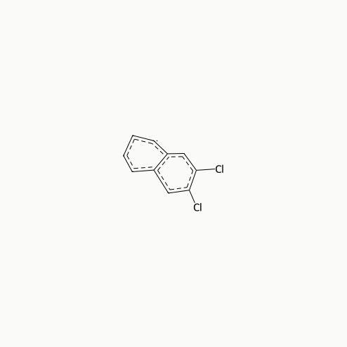 Clc1cc2[c]cccc2cc1Cl